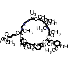 CO[C@@H]1C[C@H](C[C@@H](C)[C@@H]2CC(=O)[C@H](C)/C=C(\C)[C@@H](O)[C@@H](OC)C(=O)[C@H](C)C[C@H](C)/C=C/C=C/C=C(\C)[C@H](OCCCC(=O)N(C)C)C[C@@H]3CC[C@@H](C)[C@@](O)(O3)C(=O)C(=O)N3CCCC[C@H]3C(=O)O2)CC[C@H]1O